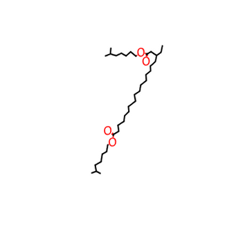 CCC(CCCCCCCCCCCCCCCC(=O)OCCCCCC(C)C)CC(=O)OCCCCCC(C)C